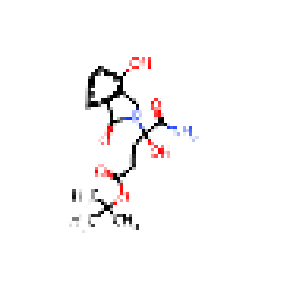 CC(C)(C)OC(=O)CCC(O)(C(N)=O)N1Cc2c(O)cccc2C1=O